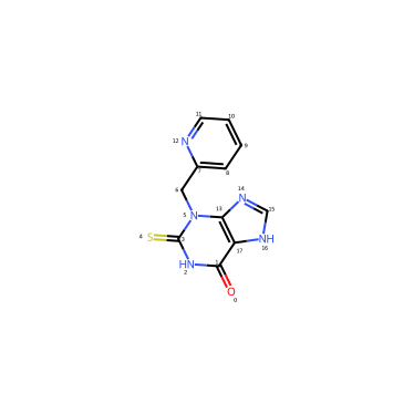 O=c1[nH]c(=S)n(Cc2ccccn2)c2nc[nH]c12